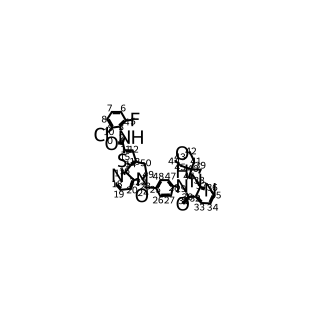 O=C(Nc1c(F)cccc1Cl)c1cc2c(s1)-c1ncccc1N(C(=O)c1ccc(NC(=O)c3cccnc3N3CC4(CCOCC4)C3)cc1)CC2